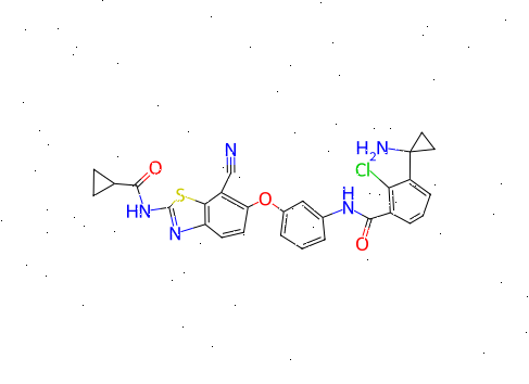 N#Cc1c(Oc2cccc(NC(=O)c3cccc(C4(N)CC4)c3Cl)c2)ccc2nc(NC(=O)C3CC3)sc12